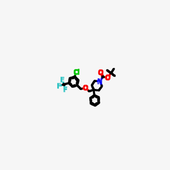 CC(C)(C)OC(=O)N1CCC(COCc2cc(Cl)cc(C(F)(F)F)c2)(c2ccccc2)CC1